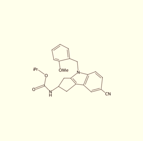 COc1ccccc1Cn1c2c(c3cc(C#N)ccc31)CC(NC(=O)OC(C)C)C2